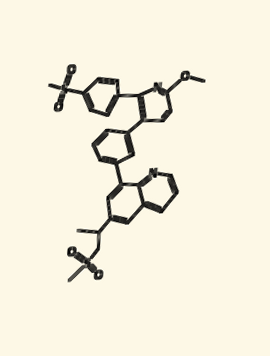 COc1ccc(-c2cccc(-c3cc(C(C)CS(C)(=O)=O)cc4cccnc34)c2)c(-c2ccc(S(C)(=O)=O)cc2)n1